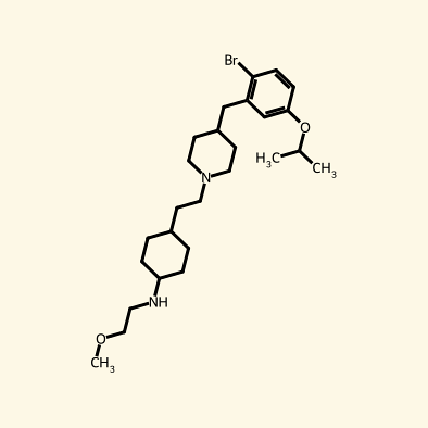 COCCNC1CCC(CCN2CCC(Cc3cc(OC(C)C)ccc3Br)CC2)CC1